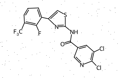 O=C(Nc1nc(-c2cccc(C(F)(F)F)c2F)cs1)c1cnc(Cl)c(Cl)c1